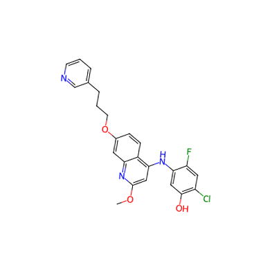 COc1cc(Nc2cc(O)c(Cl)cc2F)c2ccc(OCCCc3cccnc3)cc2n1